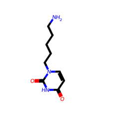 NCCCCCn1ccc(=O)[nH]c1=O